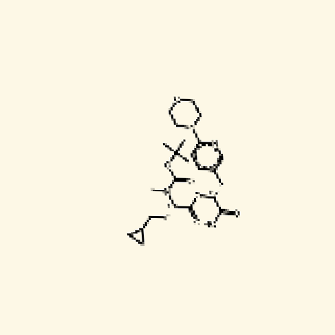 CN(C(=O)OC(C)(C)C)[C@@H](CCC1CC1)C(=O)O[C@H](Cc1ccc(N2CCOCC2)nc1)C(=O)O